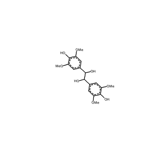 COc1cc(C(O)C(O)c2cc(OC)c(O)c(OC)c2)cc(OC)c1O